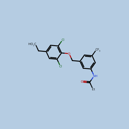 CCC(=O)Nc1cc(COc2c(Cl)cc(CC(=O)O)cc2Cl)cc(C(F)(F)F)c1